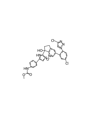 COC(=O)Nc1ccc(-c2cnc(C3(O)CCc4cc(-c5cc(Cl)ccc5-n5cc(Cl)nn5)c[n+]([O-])c43)[nH]2)cc1